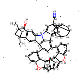 CC12CC(C)(C1)c1cc3c4c(-c5cccc6oc7ccccc7c56)cc(-c5cccc6oc7ccccc7c56)c5c6c7c(c(C#N)cc6n(c3cc1C2=O)c45)C1CC2CC(C1)CC7C2